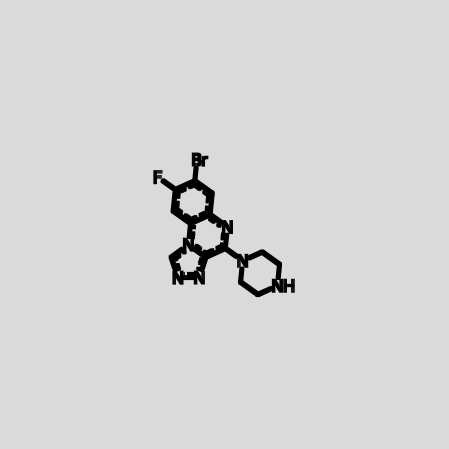 Fc1cc2c(cc1Br)nc(N1CCNCC1)c1nncn12